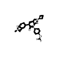 Cn1cc2cc(-c3cc4cn(C5CCC5)nc4n(-c4ccc(OC(F)F)cc4)c3=O)ccc2n1